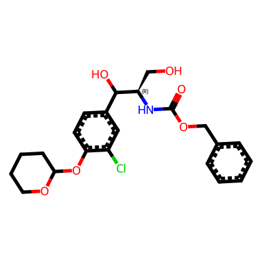 O=C(N[C@H](CO)C(O)c1ccc(OC2CCCCO2)c(Cl)c1)OCc1ccccc1